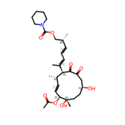 CC(=O)O[C@H]1/C=C/[C@H](C)[C@@H](/C(C)=C/C=C/[C@@H](C)COC(=O)N2CCCCC2)C(=O)C(=O)C[C@@H](O)CC[C@]1(C)O